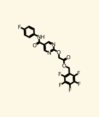 O=C(COc1ncc(C(=O)Nc2ccc(F)cc2)cn1)OCc1c(F)c(F)c(F)c(F)c1F